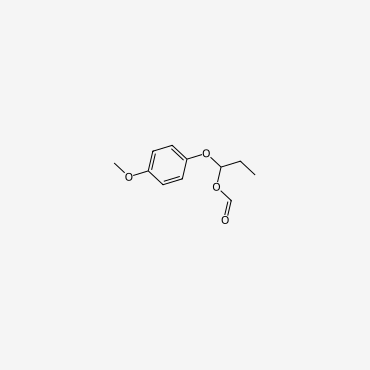 CCC(OC=O)Oc1ccc(OC)cc1